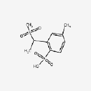 Cc1ccc(S(=O)(=O)O)c(C(C)S(C)(=O)=O)c1